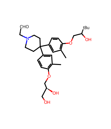 Cc1cc(C2(c3ccc(OC[C@@H](O)CO)c(C)c3)CCN(CC=O)CC2)ccc1OCC(O)C(C)(C)C